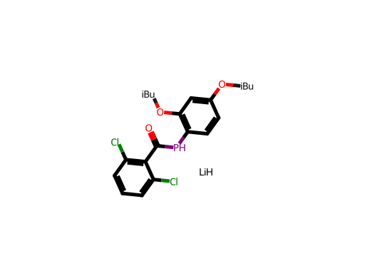 CCC(C)Oc1ccc(PC(=O)c2c(Cl)cccc2Cl)c(OC(C)CC)c1.[LiH]